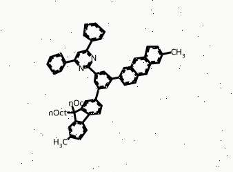 CCCCCCCCC1(CCCCCCCC)c2cc(C)ccc2-c2ccc(-c3cc(-c4ccc5cc6cc(C)ccc6cc5c4)cc(-c4nc(-c5ccccc5)cc(-c5ccccc5)n4)c3)cc21